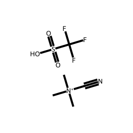 C[N+](C)(C)C#N.O=S(=O)(O)C(F)(F)F